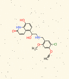 C#COc1cc(OC)c(CNCC(O)c2ccc(O)c3[nH]c(=O)ccc23)cc1Cl